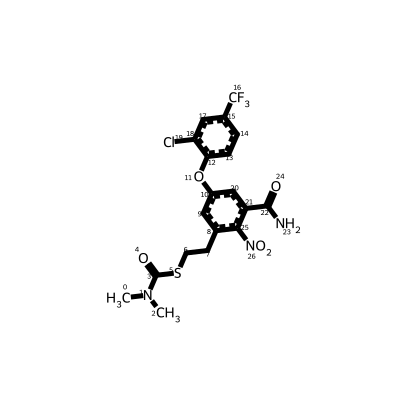 CN(C)C(=O)SCCc1cc(Oc2ccc(C(F)(F)F)cc2Cl)cc(C(N)=O)c1[N+](=O)[O-]